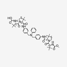 COC(=O)N[C@H](C(=O)N1CSC(C)(C)[C@H]1C(=O)Nc1ccc(CN(Cc2ccc(NC(=O)[C@H]3N(C(=O)[C@@H](NC(=O)O)C(C)(C)C)CSC3(C)C)cc2)c2ccccc2)cc1)C(C)(C)C